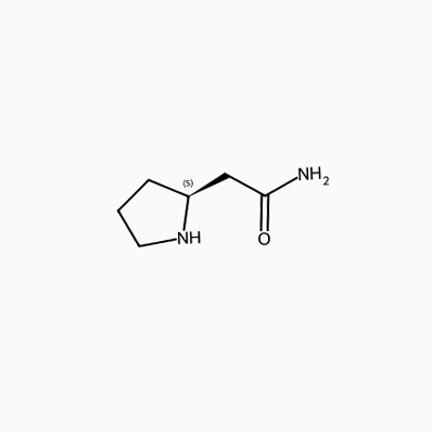 NC(=O)C[C@@H]1CCCN1